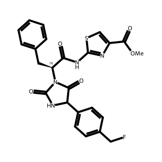 COC(=O)c1csc(NC(=O)[C@H](Cc2ccccc2)N2C(=O)NC(c3ccc(CF)cc3)C2=O)n1